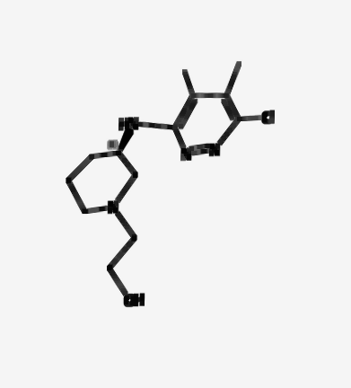 Cc1c(Cl)nnc(N[C@@H]2CCCN(CCO)C2)c1C